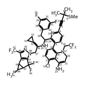 CSC(C)(C)C#Cc1ccc(-c2ccc(Cl)c3c2N(CC(F)(F)F)CC=C3N)c(C(Cc2cc(F)cc(F)c2)NC(Cn2nc(C(F)(F)F)c3c2C(F)(F)C2C(C)C32)=C2CC2)n1